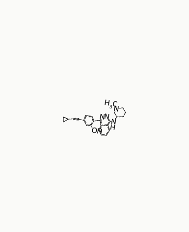 CN1CCC[C@@H](Nc2nnc(-c3ccc(C#CC4CC4)cc3O)c3ccccc23)C1